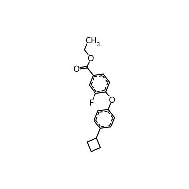 CCOC(=O)c1ccc(Oc2ccc(C3CCC3)cc2)c(F)c1